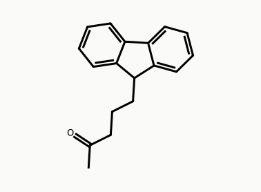 CC(=O)CCCC1c2ccccc2-c2ccccc21